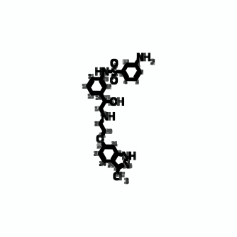 Nc1cccc(S(=O)(=O)Nc2cccc(C(O)CNCCOc3ccc4c(C(F)(F)F)n[nH]c4c3)c2)c1